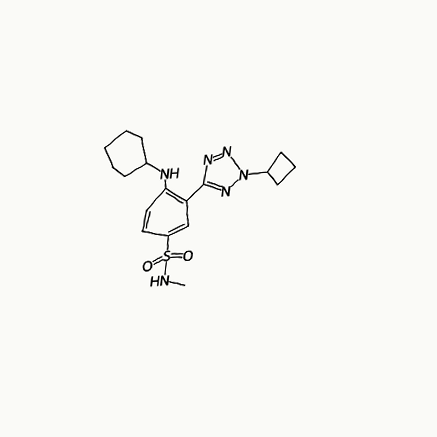 CNS(=O)(=O)c1ccc(NC2CCCCC2)c(-c2nnn(C3CCC3)n2)c1